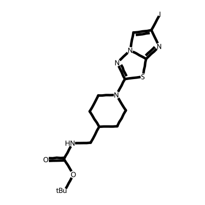 CC(C)(C)OC(=O)NCC1CCN(c2nn3cc(I)nc3s2)CC1